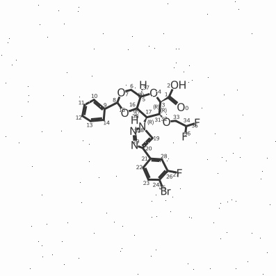 O=C(O)[C@@H]1O[C@@H]2COC(c3ccccc3)O[C@@H]2[C@H](n2cc(-c3ccc(Br)c(F)c3)nn2)[C@H]1OCC(F)F